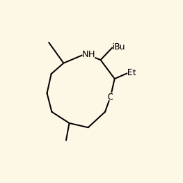 CCC(C)C1NC(C)CCCC(C)CCCC1CC